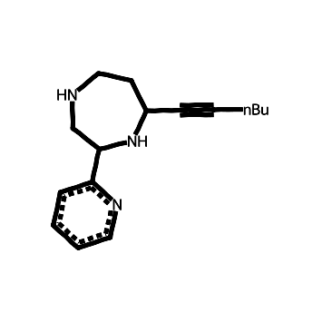 CCCCC#CC1CCNCC(c2ccccn2)N1